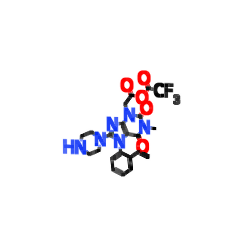 C=Cc1ccccc1-n1c(N2CCNCC2)nc2c1c(=O)n(C)c(=O)n2CC(=O)OC(=O)C(F)(F)F